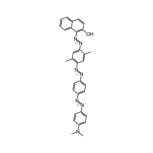 Cc1cc(/N=N/c2c(O)ccc3ccccc23)c(C)cc1/N=N/c1ccc(/N=N/c2ccc(N(C)C)cc2)cc1